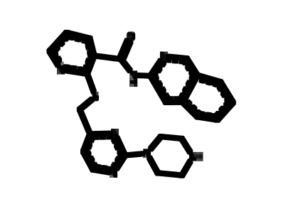 O=C(Nc1cc2ccccc2cn1)c1cccnc1SCc1ccnc(N2CCNCC2)n1